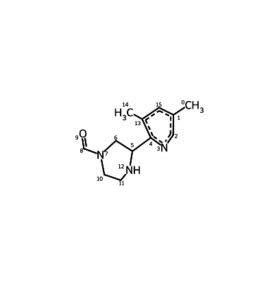 Cc1cnc(C2CN(C=O)CCN2)c(C)c1